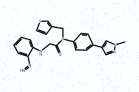 Cn1cc(-c2ccc(N(Cc3ccsc3)C(=O)CNc3ccccc3N=N)cc2)cn1